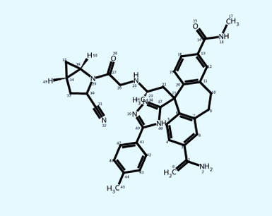 C=C(N)c1ccc2c(c1)CCc1cc(C(=O)NC)ccc1C2(C[C@H](C)NCC(=O)N1C(C#N)C[C@@H]2C[C@@H]21)c1nnc(-c2ccc(C)cc2)[nH]1